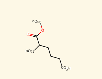 CCCCCCCCOC(=O)C(CCCCCCCC)CCCC(=O)O